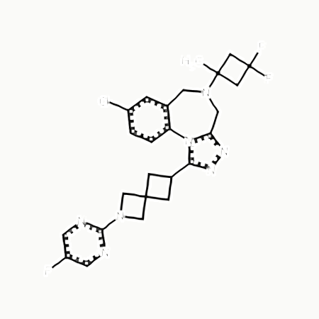 CC1(N2Cc3cc(Cl)ccc3-n3c(nnc3C3CC4(C3)CN(c3ncc(F)cn3)C4)C2)CC(F)(F)C1